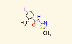 Cc1cnc(NC(=O)c2ccc(I)cc2C)s1